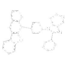 c1ccc(-c2nc3cnccc3n2-c2ccc(-c3c4ccccc4cc4c3oc3ccccc34)cc2)cc1